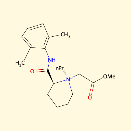 CCC[N@+]1(CC(=O)OC)CCCC[C@H]1C(=O)Nc1c(C)cccc1C